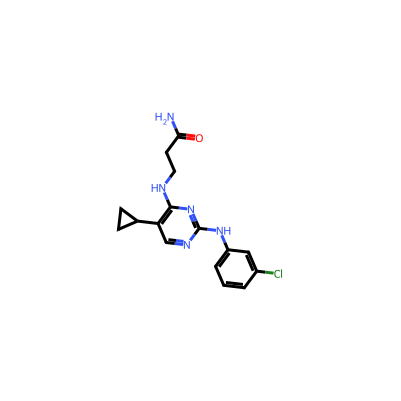 NC(=O)CCNc1nc(Nc2cccc(Cl)c2)ncc1C1CC1